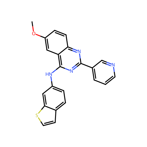 COc1ccc2nc(-c3cccnc3)nc(Nc3ccc4ccsc4c3)c2c1